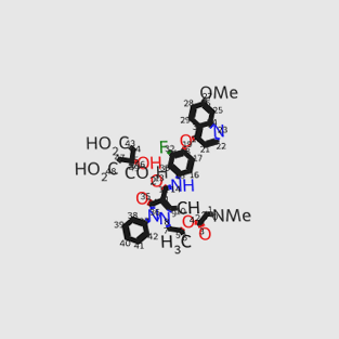 CNCC(=O)OC(C)Cn1c(C)c(C(=O)Nc2ccc(Oc3ccnc4cc(OC)ccc34)c(F)c2)c(=O)n1-c1ccccc1.O=C(O)CC(O)(CC(=O)O)C(=O)O